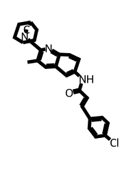 Cc1cc2cc(NC(=O)C=Cc3ccc(Cl)cc3)ccc2nc1N1CC2CCC1CC2